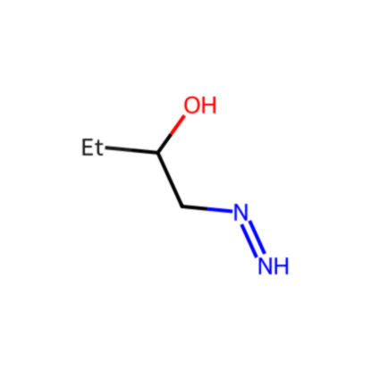 CCC(O)CN=N